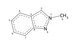 Cn1cc2c[c]ccc2n1